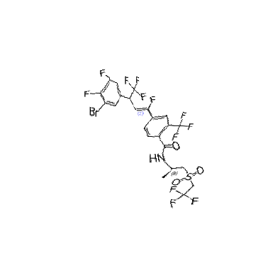 C[C@H](CS(=O)(=O)CC(F)(F)F)NC(=O)c1ccc(/C(F)=C/C(c2cc(F)c(F)c(Br)c2)C(F)(F)F)cc1C(F)(F)F